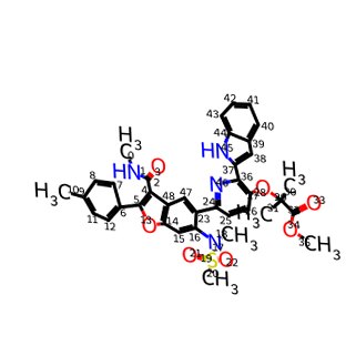 CNC(=O)c1c(-c2ccc(C)cc2)oc2cc(N(C)S(C)(=O)=O)c(-c3ccc(OC(C)(C)C(=O)OC)c(-c4cc5ccccc5[nH]4)n3)cc12